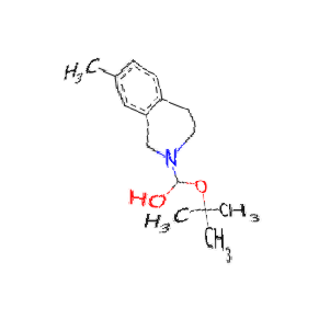 Cc1ccc2c(c1)CN(C(O)OC(C)(C)C)CC2